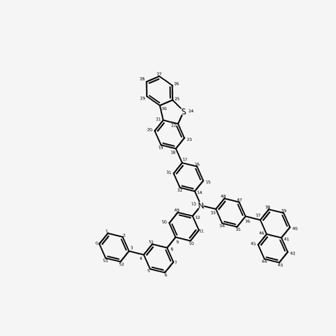 c1ccc(-c2cccc(-c3ccc(N(c4ccc(-c5ccc6c(c5)sc5ccccc56)cc4)c4ccc(-c5cccc6ccccc56)cc4)cc3)c2)cc1